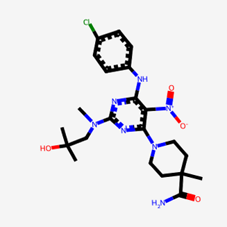 CN(CC(C)(C)O)c1nc(Nc2ccc(Cl)cc2)c([N+](=O)[O-])c(N2CCC(C)(C(N)=O)CC2)n1